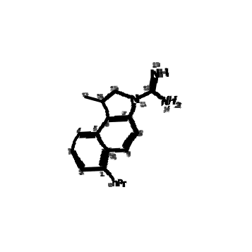 CCCc1cccc2c3c(ccc12)N(C(=N)N)CC3C